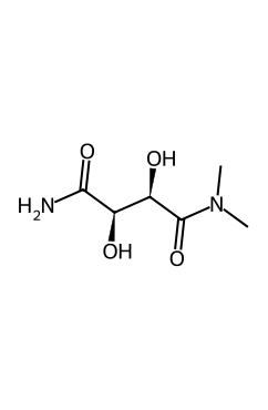 CN(C)C(=O)[C@H](O)[C@@H](O)C(N)=O